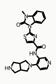 Cn1c(=O)n(-c2nc(C(=O)Nc3cnccc3N3CC4CNCC4C3)cs2)c2ccccc21